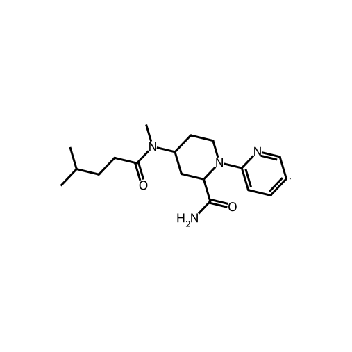 CC(C)CCC(=O)N(C)C1CCN(c2cc[c]cn2)C(C(N)=O)C1